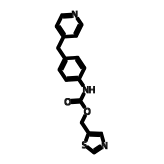 O=C(Nc1ccc(Cc2ccncc2)cc1)OCc1cncs1